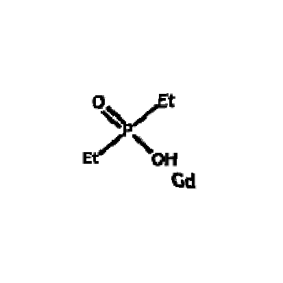 CCP(=O)(O)CC.[Gd]